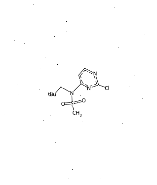 CC(C)(C)CN(c1ccnc(Cl)n1)S(C)(=O)=O